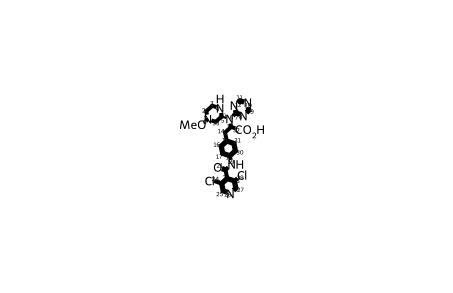 CON1CCN[C@@H](N(c2ncncn2)C(Cc2ccc(NC(=O)c3c(Cl)cncc3Cl)cc2)C(=O)O)C1